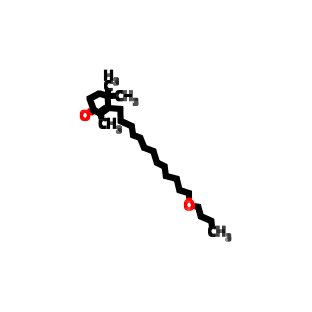 CCCCOCCCCCCCCCCCCCC1=C(C)C(=O)CCC1(C)C